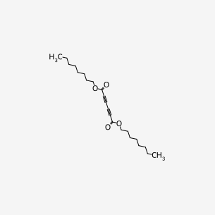 CCCCCCCCOC(=O)C#CC#CC(=O)OCCCCCCCC